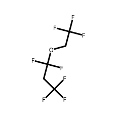 FC(F)(F)COC(F)(F)CC(F)(F)F